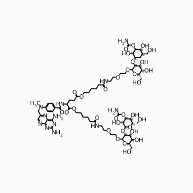 CN(Cc1cnc2nc(N)nc(N)c2n1)c1ccc(C(=O)NC(CCC(=O)OCCCCCC(=O)NCCOCCOC2O[C@@H](CO)[C@@H](O)[C@H](O)[C@@H]2O[C@H]2C[C@H](CO)[C@@H](O)[C@H](OC(N)=O)[C@@H]2O)C(=O)OCCCCCC(=O)NCCOCCOC2O[C@H](CO)[C@H](O)[C@@H](O)[C@H]2O[C@@H]2O[C@@H](CO)[C@H](O)[C@@H](OC(N)=O)[C@H]2O)cc1